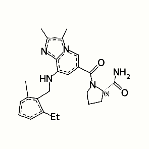 CCc1cccc(C)c1CNc1cc(C(=O)N2CCC[C@H]2C(N)=O)cn2c(C)c(C)nc12